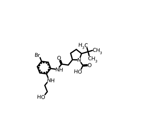 CC(C)(C)C1CCC(CC(=O)Nc2cc(Br)ccc2NCCO)N1C(=O)O